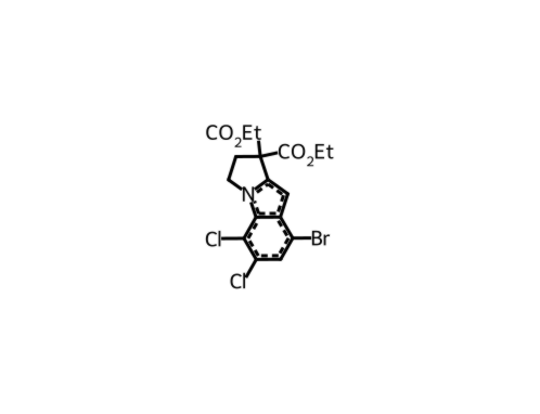 CCOC(=O)C1(C(=O)OCC)CCn2c1cc1c(Br)cc(Cl)c(Cl)c12